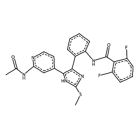 CSc1nc(-c2ccccc2NC(=O)c2c(F)cccc2F)c(-c2ccnc(NC(C)=O)c2)[nH]1